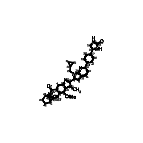 COc1c2c(cc3nc(-c4cc5ccc(-c6ccc(-c7c[nH]c(=O)[nH]7)cc6)nc5n4CC4CC4)n(C)c13)C(=O)N1C(C2)C2CCC1[C@@H]2C